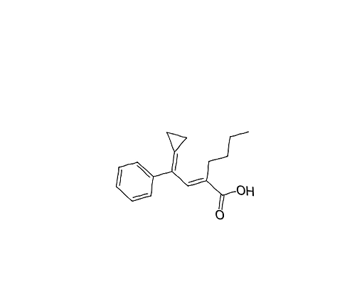 CCCCC(=CC(=C1CC1)c1ccccc1)C(=O)O